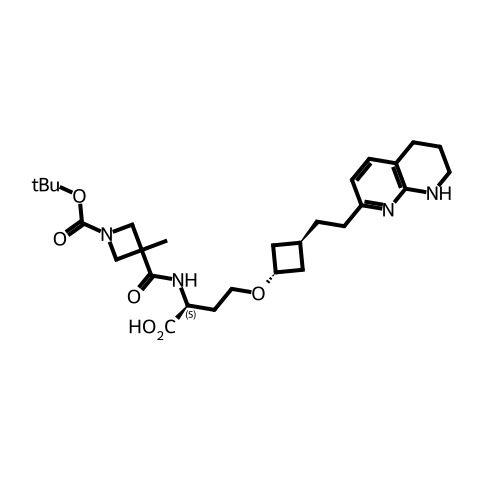 CC(C)(C)OC(=O)N1CC(C)(C(=O)N[C@@H](CCO[C@H]2C[C@H](CCc3ccc4c(n3)NCCC4)C2)C(=O)O)C1